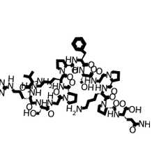 CC(C)[C@H](N)C(=O)N[C@@H](CCCNC(=N)N)C(=O)N[C@@H](CO)C(=O)NCC(=O)N1CCC[C@H]1C(=O)N[C@@H](CCCCN)C(=O)N1CCC[C@H]1C(=O)N[C@@H](Cc1ccccc1)C(=O)N[C@@H](CO)C(=O)N[C@@H](C)C(=O)N1CCC[C@H]1C(=O)N[C@@H](CCCCN)C(=O)N1CCC[C@H]1C(=O)N[C@@H](CCC(N)=O)C(=O)O